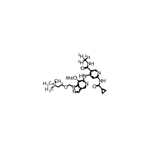 [2H]C([2H])([2H])NC(=O)c1cnc(NC(=O)C2CC2)cc1Nc1ncc2cnn(COCC[Si](C)(C)C)c2c1OC